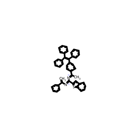 C=C(/N=C(\N=C(/C)c1ccc(C(=C(c2ccccc2)c2ccccc2)c2ccccc2)cc1)c1cc2ccccc2s1)c1ccccc1